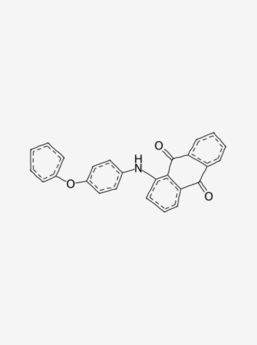 O=C1c2ccccc2C(=O)c2c(Nc3ccc(Oc4ccccc4)cc3)cccc21